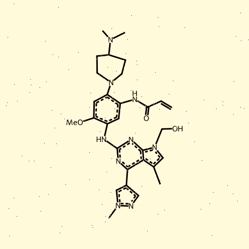 C=CC(=O)Nc1cc(Nc2nc(-c3cnn(C)c3)c3c(C)cn(CO)c3n2)c(OC)cc1N1CCC(N(C)C)CC1